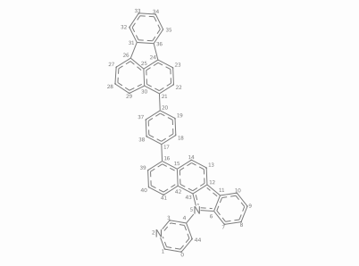 c1cncc(-n2c3ccccc3c3ccc4c(-c5ccc(-c6ccc7c8c(cccc68)-c6ccccc6-7)cc5)cccc4c32)c1